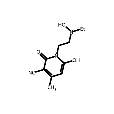 CCN(O)CCn1c(O)cc(C)c(C#N)c1=O